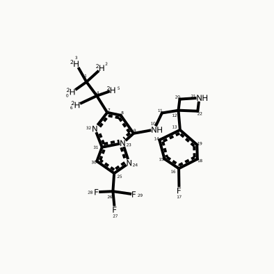 [2H]C([2H])([2H])C([2H])([2H])c1cc(NCC2(c3ccc(F)cc3)CNC2)n2nc(C(F)(F)F)cc2n1